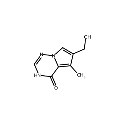 Cc1c(CO)cn2nc[nH]c(=O)c12